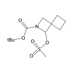 CC(C)(C)OC(=O)N1CC2(CCC2)C1OS(C)(=O)=O